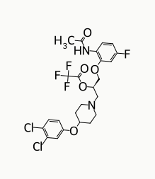 CC(=O)Nc1ccc(F)cc1OC[C@@H](CN1CCC(Oc2ccc(Cl)c(Cl)c2)CC1)OC(=O)C(F)(F)F